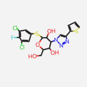 OCC1OC(Sc2cc(Cl)c(F)c(Cl)c2)C(O)C(n2cc(-c3cccs3)nn2)C1O